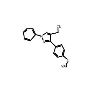 CCCCOc1ccc(-c2nn(-c3ccccc3)cc2CC#N)cc1